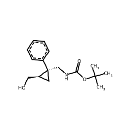 CC(C)(C)OC(=O)NC[C@]1(c2ccccc2)C[C@H]1CO